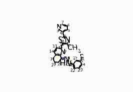 Cc1nc(-c2cccnc2)sc1-c1ccc2c(n1)/C(=N/Nc1cccc(F)c1)CCC2